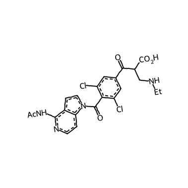 CCNCC(C(=O)O)C(=O)c1cc(Cl)c(C(=O)n2ccc3c(NC(C)=O)nccc32)c(Cl)c1